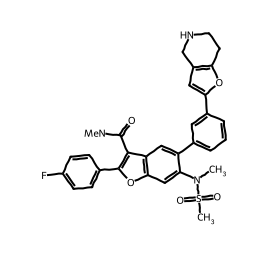 CNC(=O)c1c(-c2ccc(F)cc2)oc2cc(N(C)S(C)(=O)=O)c(-c3cccc(-c4cc5c(o4)CCNC5)c3)cc12